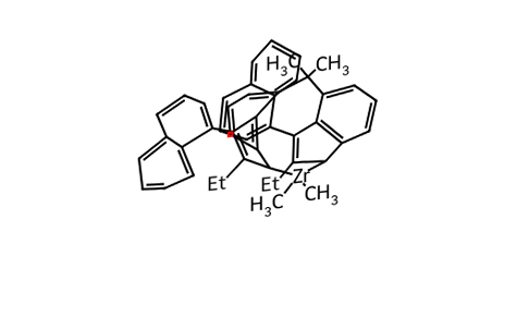 CCC1=C(c2cccc3ccccc23)c2c3cccc2C(C)(C)c2cccc4c2C(c2cccc5ccccc25)=C(CC)[CH]4[Zr]([CH3])([CH3])[CH]13